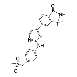 CC1(C)NC(=O)c2ccc(-c3ccnc(Nc4ccc(CS(C)(=O)=O)cc4)n3)cc21